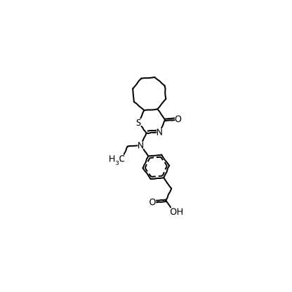 CCN(C1=NC(=O)C2CCCCCCC2S1)c1ccc(CC(=O)O)cc1